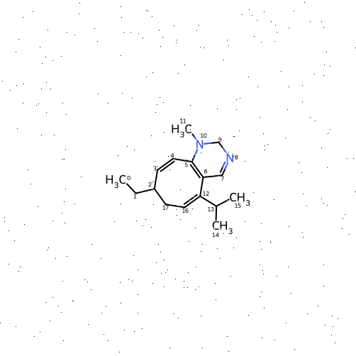 CCC1/C=C\C2=C(C=NCN2C)C(/C(C)C)=C\C1